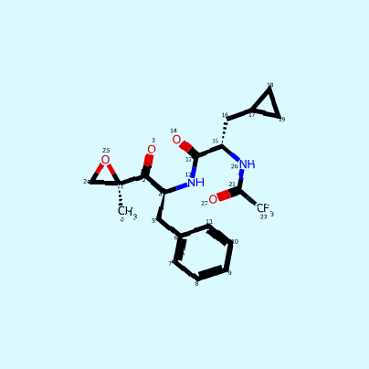 C[C@]1(C(=O)[C@H](Cc2ccccc2)NC(=O)[C@H](CC2CC2)NC(=O)C(F)(F)F)CO1